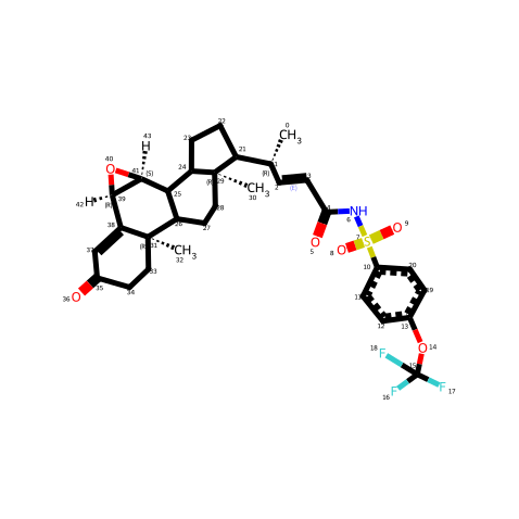 C[C@H](/C=C/C(=O)NS(=O)(=O)c1ccc(OC(F)(F)F)cc1)C1CCC2C3C(CC[C@@]21C)[C@@]1(C)CCC(=O)C=C1[C@H]1O[C@@H]31